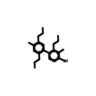 CCCc1cc(-c2ccc(S)c(C)c2CCC)c(CCC)cc1C